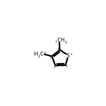 [CH2]c1ccsc1C